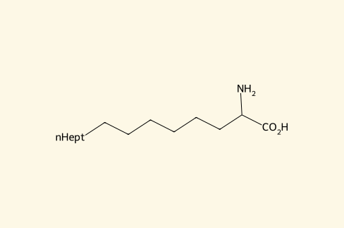 CCCCCCCCCCCCCC(N)C(=O)O